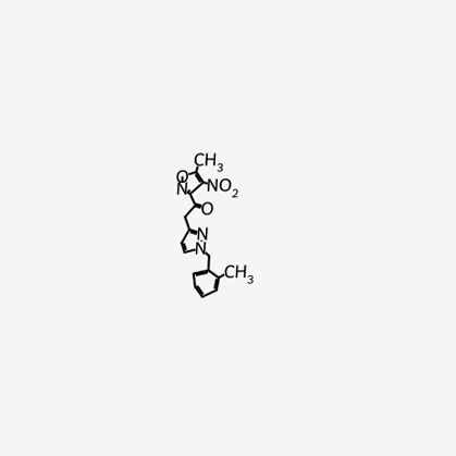 Cc1ccccc1Cn1ccc(CC(=O)c2noc(C)c2[N+](=O)[O-])n1